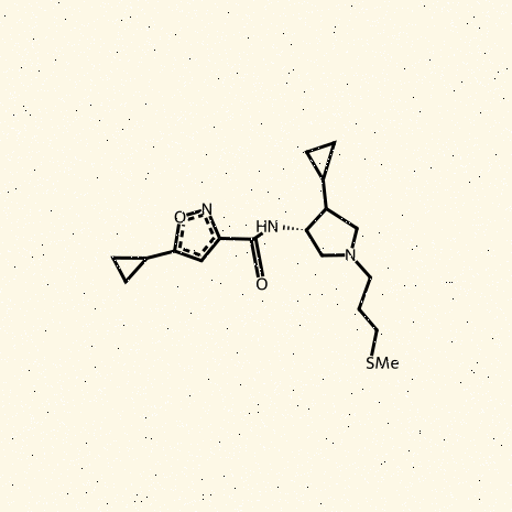 CSCCCN1CC(C2CC2)[C@@H](NC(=O)c2cc(C3CC3)on2)C1